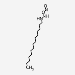 CCCCCCCCCCCCCCCNNON=O